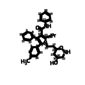 Cc1ccc(-c2c(-c3ccccc3)c(C(=O)Nc3ccccc3)c(C(C)C)n2CCC2C[C@@H](O)CNO2)cc1